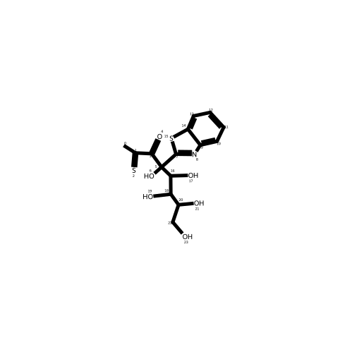 CC(=S)C(=O)C(O)(c1nc2ccccc2s1)C(O)C(O)C(O)CO